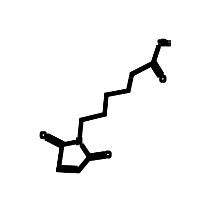 CC(C)(C)C(=O)CCCCCN1C(=O)C=CC1=O